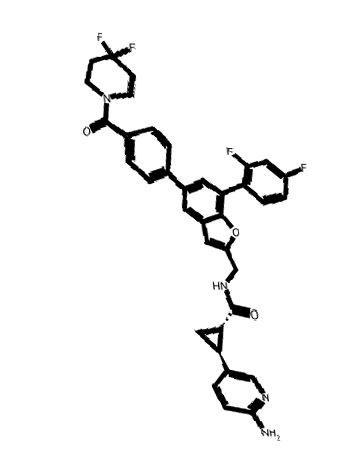 Nc1ccc([C@H]2C[C@@H]2C(=O)NCc2cc3cc(-c4ccc(C(=O)N5CCC(F)(F)CC5)cc4)cc(-c4ccc(F)cc4F)c3o2)cn1